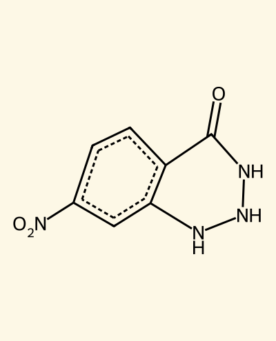 O=C1NNNc2cc([N+](=O)[O-])ccc21